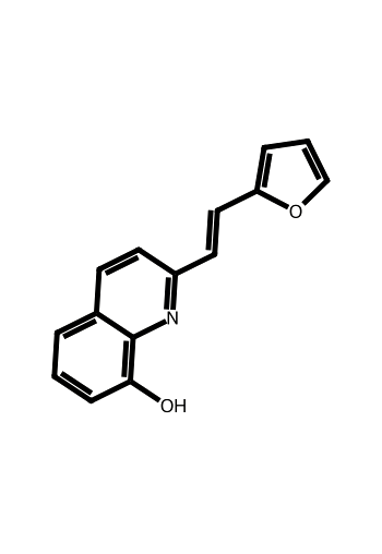 Oc1cccc2ccc(/C=C/c3ccco3)nc12